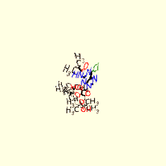 CC(C)C(=O)Nc1nc(Cl)c2ncn([C@@H]3O[C@H](CO[Si](O)(C(C)C)C(C)C)C(O[SiH](C(C)C)C(C)C)C3O)c2n1